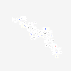 CN(C)CCNc1cc(F)cc(-c2nccc3[nH]c(-c4n[nH]c5cnc(-c6cccc(OC7CCNCC7)c6)cc45)cc23)c1